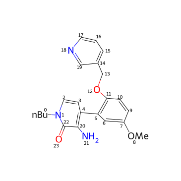 CCCCn1ccc(-c2cc(OC)ccc2OCc2cccnc2)c(N)c1=O